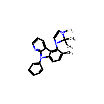 Cc1ccc2c(c1N1C=CN(C)C1(C)C)c1cccnc1n2-c1ccccc1